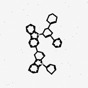 C1=CCCC(n2c3c(c4ccccc42)CC(c2ccc4c5ccccc5n(C5C=C(c6ccccc6)CC(C6=CCCCC6)C5)c4c2)C=C3)=C1